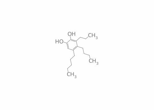 CCCCCc1cc(O)c(O)c(CCC)c1CCCC